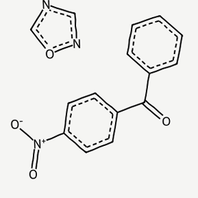 O=C(c1ccccc1)c1ccc([N+](=O)[O-])cc1.c1ncon1